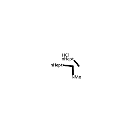 CCCCCCCC.CCCCCCCCNC.Cl